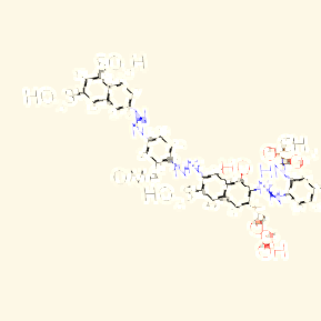 COc1cc(N=Nc2ccc3c(S(=O)(=O)O)cc(S(=O)(=O)O)cc3c2)ccc1N=Nc1cc2c(O)c(N=Nc3ccccc3NS(C)(=O)=O)c(SOOO)cc2cc1S(=O)(=O)O